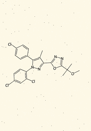 COC(C)(C)c1nnc(-c2nn(-c3ccc(Cl)cc3Cl)c(-c3ccc(Cl)cc3)c2C)o1